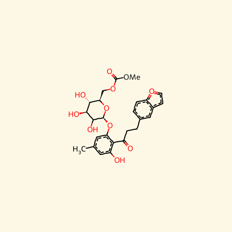 COC(=O)OC[C@H]1O[C@@H](Oc2cc(C)cc(O)c2C(=O)CCc2ccc3occc3c2)C(O)[C@@H](O)[C@@H]1O